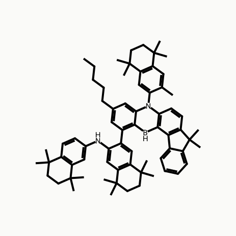 CCCCCc1cc(-c2cc3c(cc2Nc2ccc4c(c2)C(C)(C)CCC4(C)C)C(C)(C)CCC3(C)C)c2c(c1)N(c1cc3c(cc1C)C(C)(C)CCC3(C)C)c1ccc3c(c1B2)-c1ccccc1C3(C)C